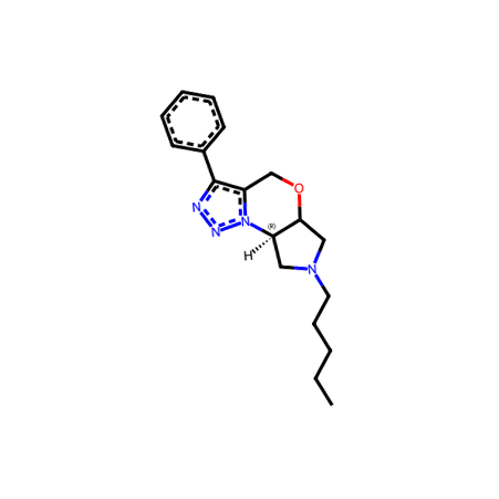 CCCCCN1CC2OCc3c(-c4ccccc4)nnn3[C@@H]2C1